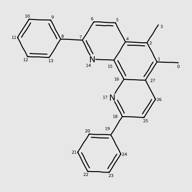 Cc1c(C)c2ccc(-c3ccccc3)nc2c2nc(-c3ccccc3)ccc12